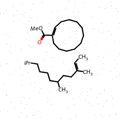 CC=C(C)CCC(C)CCCCC(C)C.COC(=O)C1=CCCCCCCCCCC1